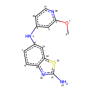 COc1cc(Nc2ccc3nc(N)sc3c2)ccn1